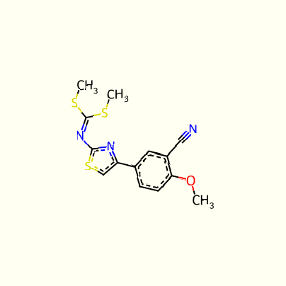 COc1ccc(-c2csc(N=C(SC)SC)n2)cc1C#N